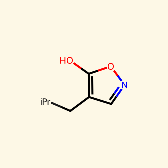 CC(C)Cc1cnoc1O